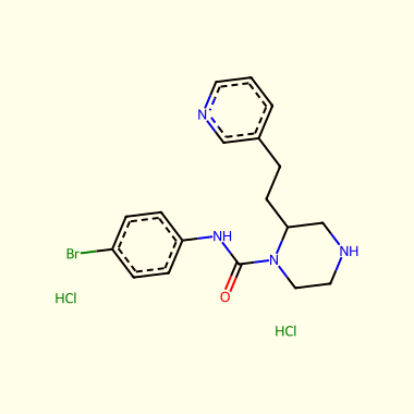 Cl.Cl.O=C(Nc1ccc(Br)cc1)N1CCNCC1CCc1cccnc1